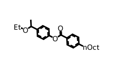 CCCCCCCCc1ccc(C(=O)Oc2ccc(C(C)OCC)cc2)cc1